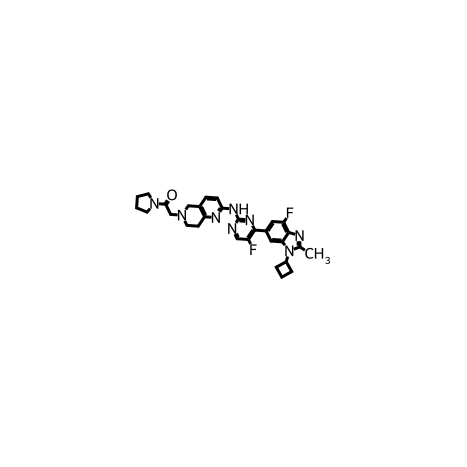 Cc1nc2c(F)cc(-c3nc(Nc4ccc5c(n4)CCN(CC(=O)N4CCCC4)C5)ncc3F)cc2n1C1CCC1